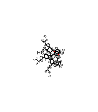 CCC(C)COc1cc(-c2ccc(OC(C)C)c(OCC(C)CC)c2)c(P(=O)(c2ccccc2)c2cc(OC)c(OCC(C)CC)cc2-c2ccc(OC)c(OCC(C)CC)c2)cc1O